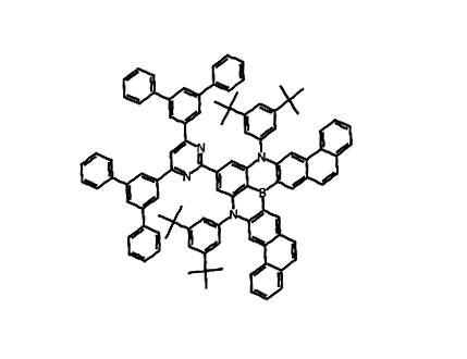 CC(C)(C)c1cc(N2c3cc4c(ccc5ccccc54)cc3B3c4cc5ccc6ccccc6c5cc4N(c4cc(C(C)(C)C)cc(C(C)(C)C)c4)c4cc(-c5nc(-c6cc(-c7ccccc7)cc(-c7ccccc7)c6)cc(-c6cc(-c7ccccc7)cc(-c7ccccc7)c6)n5)cc2c43)cc(C(C)(C)C)c1